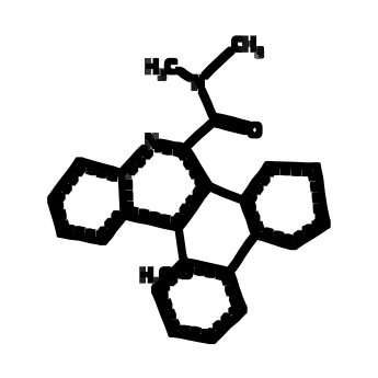 COc1c(-c2ccccc2-c2ccccc2)c(C(=O)N(C)C)nc2ccccc12